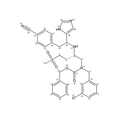 CS(=O)(=O)CC[C@@H](CN(Cc1cccc(Cl)c1)C(=O)OCc1ccccc1)NC(Cc1ccc(C#N)cc1)c1cnc[nH]1